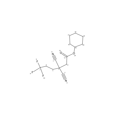 N#CC(C#N)(CCC(F)(F)F)CC(=O)OC1CCCCC1